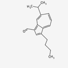 CCCCc1cc(C=O)c2cc(C(C)C)cccc1-2